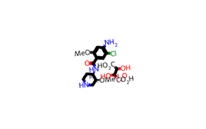 COc1cc(N)c(Cl)cc1C(=O)N[C@@H]1CCNC[C@@H]1OC.O.O=C(O)C(O)C(O)C(=O)O